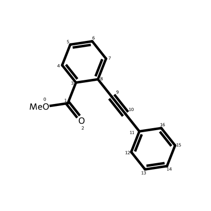 COC(=O)c1ccccc1C#Cc1ccccc1